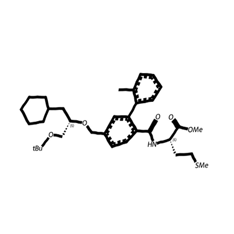 COC(=O)[C@H](CCSC)NC(=O)c1ccc(CO[C@H](COC(C)(C)C)CC2CCCCC2)cc1-c1ccccc1C